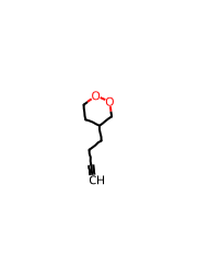 C#CCCC1CCOOC1